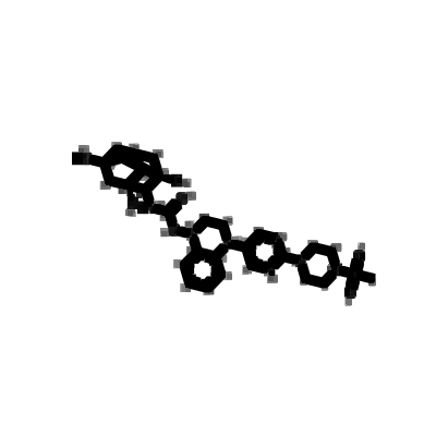 CS(=O)(=O)N1CCN(c2ncc(N3CCN(OC(=O)NC4[C@@H]5CC6C[C@H]4CC(O)(C6)C5)c4ccccc43)cn2)CC1